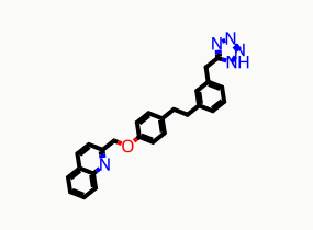 c1cc(CCc2ccc(OCc3ccc4ccccc4n3)cc2)cc(Cc2nnn[nH]2)c1